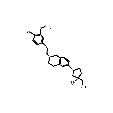 COc1cc(OC[C@@H]2CCc3cc([C@H]4CC[C@](N)(CO)C4)ccc3C2)ccc1Cl